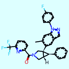 Cc1cc2c(cnn2-c2ccc(F)cc2)cc1[C@]12CN(C(=O)c3cccc(C(F)(F)F)n3)C[C@H]1[C@@H]2c1ccccc1